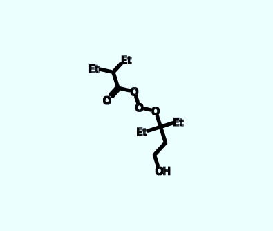 CCC(CC)C(=O)OOOC(CC)(CC)CCO